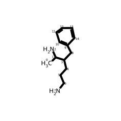 CC(N)C(CCCN)Cc1ccccc1